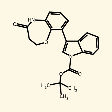 CC(C)(C)OC(=O)n1cc(-c2cccc3c2OCCC(=O)N3)c2ccccc21